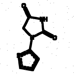 O=C1CN(c2cccs2)C(=O)N1